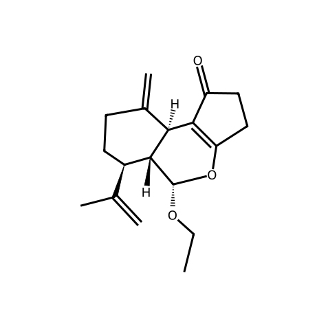 C=C1CC[C@H](C(=C)C)[C@H]2[C@@H](OCC)OC3=C(C(=O)CC3)[C@H]12